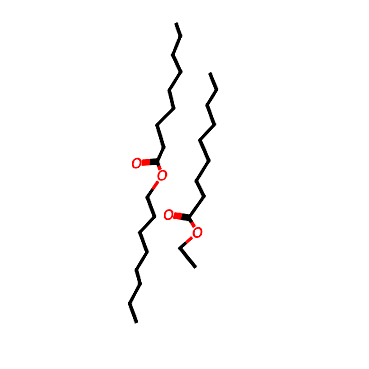 CCCCCCCCC(=O)OCC.CCCCCCCCOC(=O)CCCCCCCC